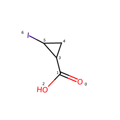 O=C(O)C1CC1I